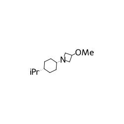 COC1CN([C@H]2CC[C@@H](C(C)C)CC2)C1